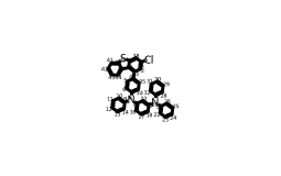 Clc1cc(-c2ccc(N(c3ccccc3)c3cccc(N(c4ccccc4)c4ccccc4)c3)cc2)c2c(c1)sc1ccccc12